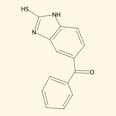 O=C(c1ccccc1)c1ccc2[nH]c(S)nc2c1